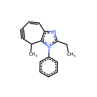 CCc1nc2c(n1-c1ccccc1)C(C)C#CC=C2